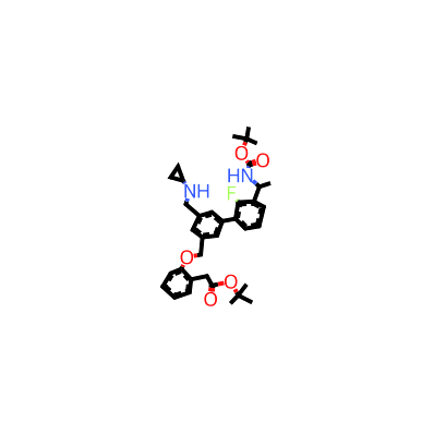 CC(NC(=O)OC(C)(C)C)c1cccc(-c2cc(CNC3CC3)cc(COc3ccccc3CC(=O)OC(C)(C)C)c2)c1F